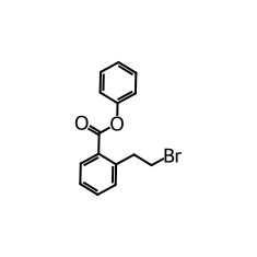 O=C(Oc1ccccc1)c1ccccc1CCBr